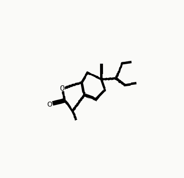 CCC(CC)C1(C)CCC2C(C1)OC(=O)C2C